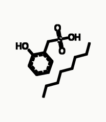 CCCCCCCC.O=S(=O)(O)Cc1ccccc1O